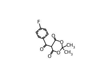 CC1(C)OC(=O)C(C(=O)c2ccc(F)cc2)C(=O)O1